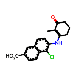 CC1=C(Nc2ccc3cc(C(=O)O)ccc3c2Cl)CCCC1=O